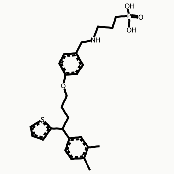 Cc1ccc(C(CCCOc2ccc(CNCCCP(=O)(O)O)cc2)c2cccs2)cc1C